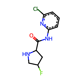 O=C(Nc1cccc(Cl)n1)C1CC(F)CN1